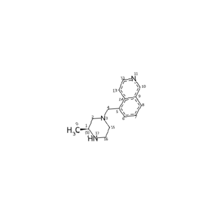 C[C@H]1CN(Cc2cccc3cnccc23)CCN1